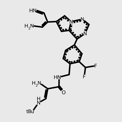 CC(C)(C)N/C=C(\N)C(=O)NCc1ccc(-c2ncnn3cc(/C(C=N)=C/N)cc23)cc1C(F)F